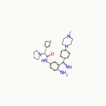 CN1CCN(c2ccc(C(=N)c3cc(NC(=O)C(c4ccsc4)N4CCCC4)ccc3N)cc2)CC1